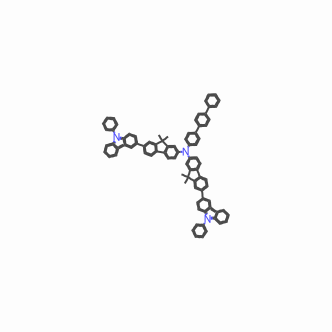 CC1(C)c2cc(-c3ccc4c(c3)c3ccccc3n4-c3ccccc3)ccc2-c2ccc(N(c3ccc(-c4ccc(-c5ccccc5)cc4)cc3)c3ccc4c(c3)C(C)(C)c3cc(-c5ccc6c(c5)c5ccccc5n6-c5ccccc5)ccc3-4)cc21